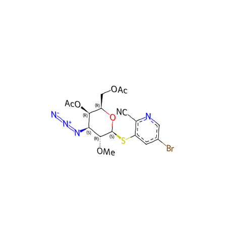 CO[C@@H]1[C@@H](N=[N+]=[N-])[C@@H](OC(C)=O)[C@@H](COC(C)=O)O[C@H]1Sc1cc(Br)cnc1C#N